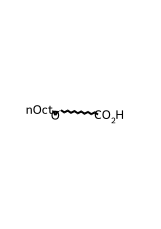 CCCCCCCC[C@H]1O[C@H]1CCCCCCCCCCCC(=O)O